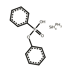 O=P(O)(Oc1ccccc1)c1ccccc1.P.[SiH4]